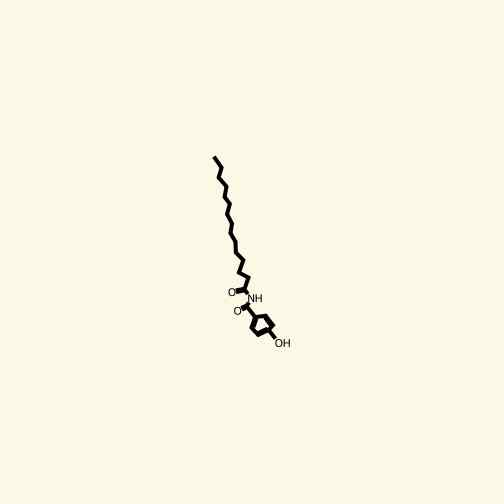 CCCCCCCCCCCCCCC(=O)NC(=O)c1ccc(O)cc1